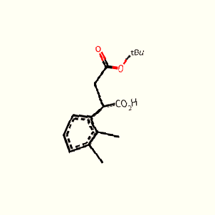 Cc1cccc(C(CC(=O)OC(C)(C)C)C(=O)O)c1C